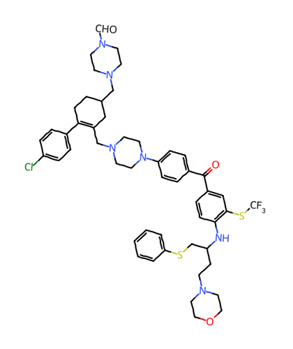 O=CN1CCN(CC2CCC(c3ccc(Cl)cc3)=C(CN3CCN(c4ccc(C(=O)c5ccc(NC(CCN6CCOCC6)CSc6ccccc6)c(SC(F)(F)F)c5)cc4)CC3)C2)CC1